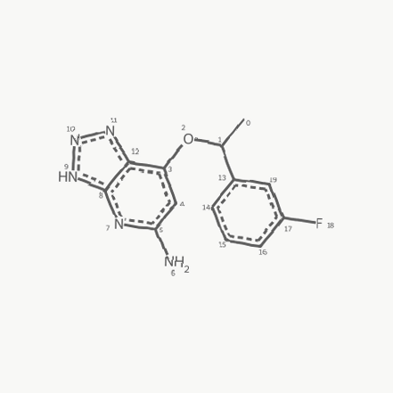 CC(Oc1cc(N)nc2[nH]nnc12)c1cccc(F)c1